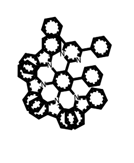 c1ccc(-c2cc(-c3ccccc3)nc(-c3c(-c4ccccc4)c(-n4c5ccccc5c5ccccc54)c(-n4c5ccccc5c5ccccc54)c(-n4c5ccccc5c5ccccc54)c3-n3c4ccccc4c4ccccc43)n2)cc1